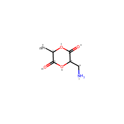 CCCC1OC(=O)C(CN)OC1=O